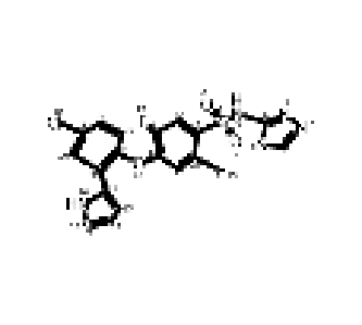 O=S(=O)(Nc1nncs1)c1cc(F)c(Oc2ccc(Cl)cc2-c2ccn[nH]2)cc1F